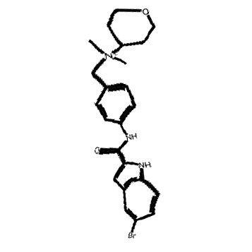 C[N+](C)(Cc1ccc(NC(=O)c2cc3cc(Br)ccc3[nH]2)cc1)C1CCOCC1